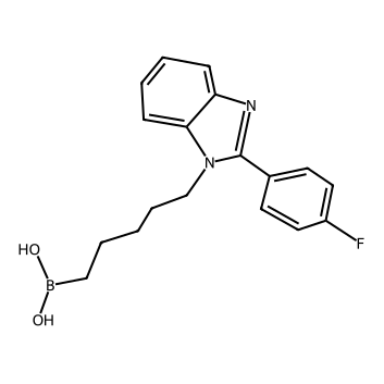 OB(O)CCCCCn1c(-c2ccc(F)cc2)nc2ccccc21